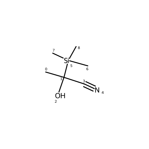 CC(O)(C#N)[Si](C)(C)C